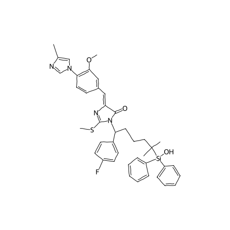 COc1cc(/C=C2\N=C(SC)N(C(CCCC(C)(C)[Si](O)(c3ccccc3)c3ccccc3)c3ccc(F)cc3)C2=O)ccc1-n1cnc(C)c1